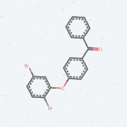 O=C(c1ccccc1)c1ccc(Oc2cc(Br)ccc2Br)cc1